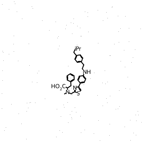 CC(C)Cc1ccc(CCNc2ccc(-c3csc(CN(C)C(Cc4ccccc4)C(=O)O)n3)cc2)cc1